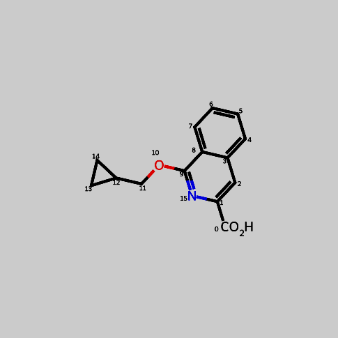 O=C(O)c1cc2ccccc2c(OCC2CC2)n1